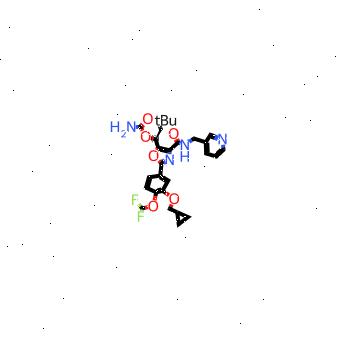 CC(C)(C)C[C@H](OC(N)=O)c1oc(-c2ccc(OC(F)F)c(OCC3CC3)c2)nc1C(=O)NCc1cccnc1